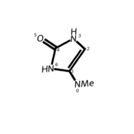 CNc1c[nH]c(=O)[nH]1